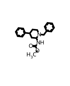 COC(=O)NC1CC(c2ccccc2)CCN1Cc1ccccc1